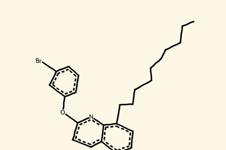 CCCCCCCCCCc1cccc2ccc(Oc3cccc(Br)c3)nc12